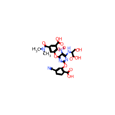 CN(C)C(=O)c1cc(Oc2nc(Oc3cc(C#N)ccc3C(=O)O)nc(NC(CO)C(=O)O)c2[N+](=O)[O-])cc(C(=O)O)c1